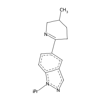 CC1CCC(c2ccc3c(cnn3C(C)C)c2)=NC1